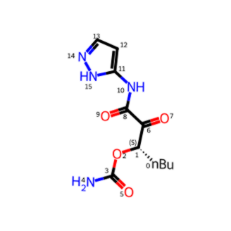 CCCC[C@H](OC(N)=O)C(=O)C(=O)Nc1ccn[nH]1